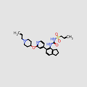 C=CCN1CCC(Oc2cc(-c3ccc4c(c3NC(=O)NS(=O)(=O)CC=C)CCC4)ccn2)CC1